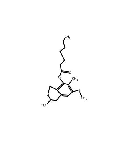 CCCCCCC(=O)Oc1c(C)c(OC)cc2c1COC(C)C2